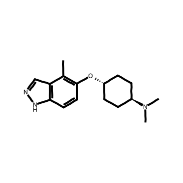 Cc1c(O[C@H]2CC[C@H](N(C)C)CC2)ccc2[nH]ncc12